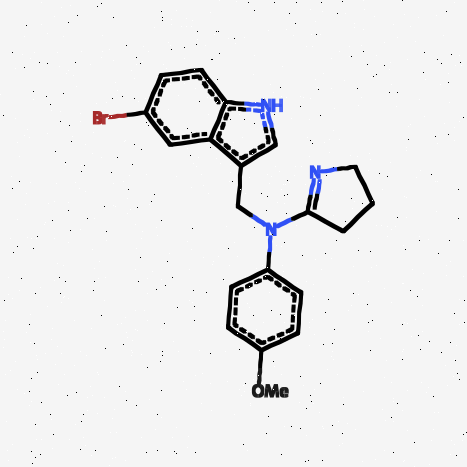 COc1ccc(N(Cc2c[nH]c3ccc(Br)cc23)C2=NCCC2)cc1